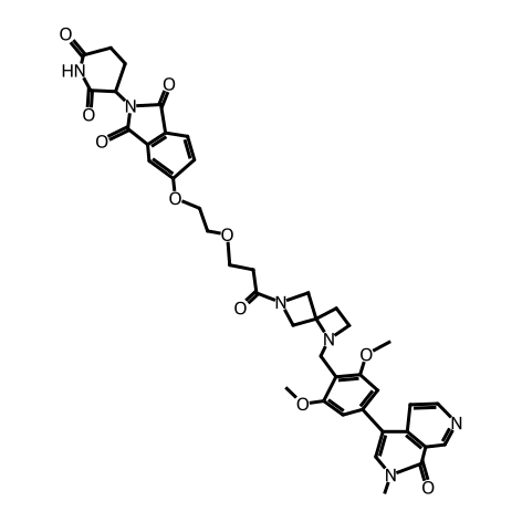 COc1cc(-c2cn(C)c(=O)c3cnccc23)cc(OC)c1CN1CCC12CN(C(=O)CCOCCOc1ccc3c(c1)C(=O)N(C1CCC(=O)NC1=O)C3=O)C2